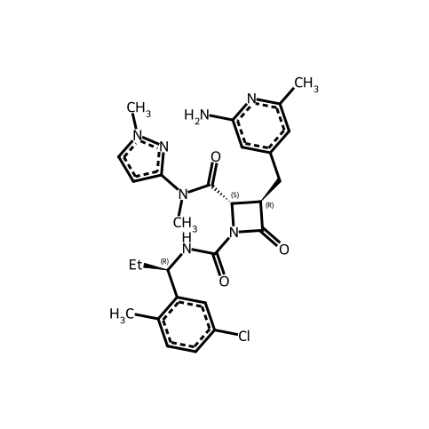 CC[C@@H](NC(=O)N1C(=O)[C@H](Cc2cc(C)nc(N)c2)[C@H]1C(=O)N(C)c1ccn(C)n1)c1cc(Cl)ccc1C